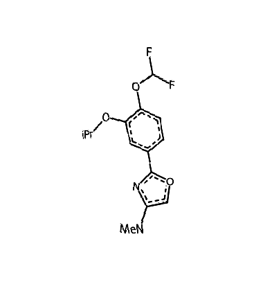 CNc1coc(-c2ccc(OC(F)F)c(OC(C)C)c2)n1